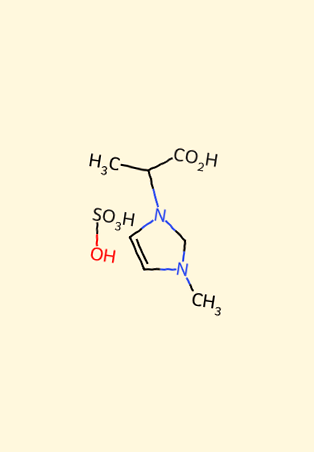 CC(C(=O)O)N1C=CN(C)C1.O=S(=O)(O)O